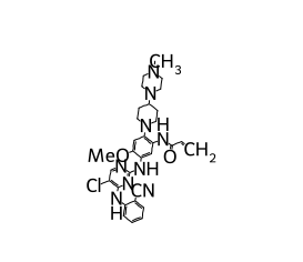 C=CC(=O)Nc1cc(Nc2ncc(Cl)c(Nc3ccccc3C#N)n2)c(OC)cc1N1CCC(N2CCN(C)CC2)CC1